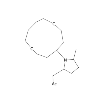 CC(=O)CC1CCC(C)N1C1CCCCCCCCCC1